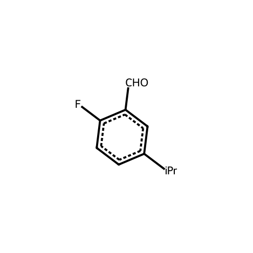 CC(C)c1ccc(F)c(C=O)c1